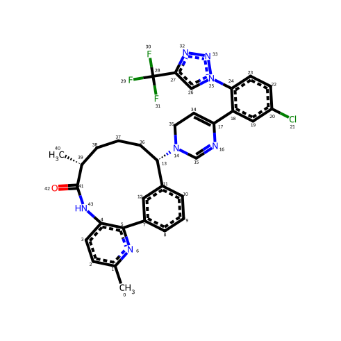 Cc1ccc2c(n1)-c1cccc(c1)[C@@H](N1C=NC(c3cc(Cl)ccc3-n3cc(C(F)(F)F)nn3)=CC1)CCC[C@@H](C)C(=O)N2